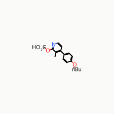 CCCCOc1ccc(-c2ccnc(OC(=O)O)c2C)cc1